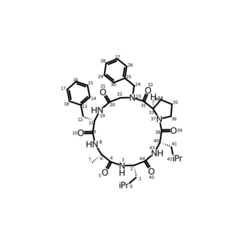 CC(C)C[C@@H]1NC(=O)[C@H](C)NC(=O)[C@H](Cc2ccccc2)NC(=O)CN(Cc2ccccc2)C(=O)[C@H]2CCCN2C(=O)[C@H](CC(C)C)NC1=O